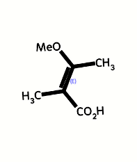 CO/C(C)=C(\C)C(=O)O